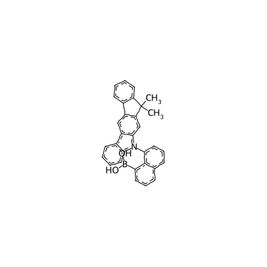 CC1(C)c2ccccc2-c2cc3c4ccccc4n(-c4cccc5cccc(B(O)O)c45)c3cc21